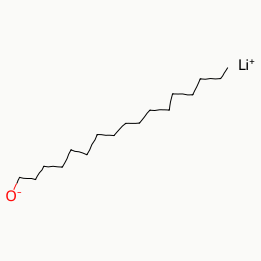 CCCCCCCCCCCCCCCCC[O-].[Li+]